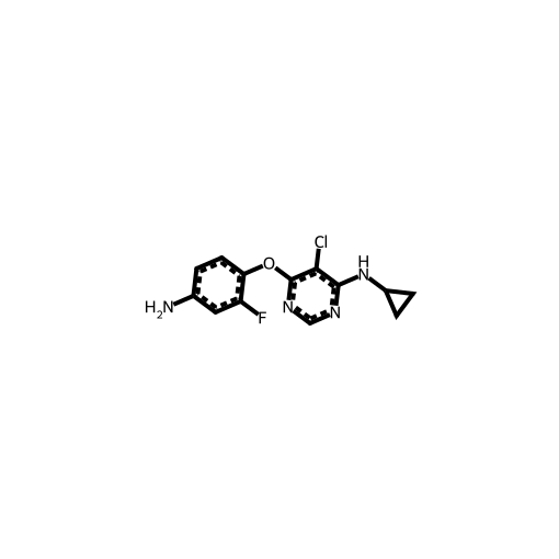 Nc1ccc(Oc2ncnc(NC3CC3)c2Cl)c(F)c1